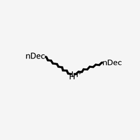 CCCCCCCCCCCCCCCCCCC[CH2][In+][CH2]CCCCCCCCCCCCCCCCCCC.[H-]